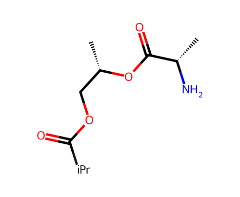 CC(C)C(=O)OC[C@H](C)OC(=O)[C@H](C)N